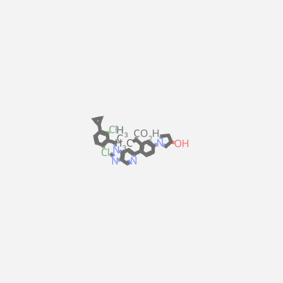 CC(C(=O)O)c1cc(N2CCC(O)C2)ccc1-c1cc2c(cn1)ncn2[C@H](C)c1c(Cl)ccc(C2CC2)c1Cl